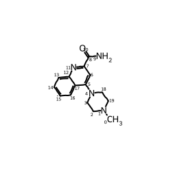 CN1CCN(c2cc(C(N)=O)nc3cc[c]cc23)CC1